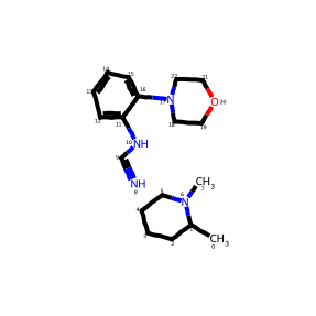 CC1CCCCN1C.N=CNc1ccccc1N1CCOCC1